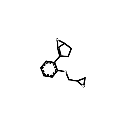 c1ccc(C2=C3OC3CC2)c(OCC2CO2)c1